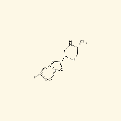 C[C@@H]1CCC(c2nc3cc(F)ccc3o2)CN1